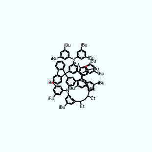 CCC(C)c1cc(C(C)CC)cc(N(c2cc(C(C)CC)cc(C(C)CC)c2)c2cc(N(c3cc(C(C)CC)cc(C(C)CC)c3)c3cc(C(C)CC)cc(C(C)CC)c3)cc(C3(c4cc5cc(c4)N(c4cc(C(C)CC)cc(C(C)CC)c4)c4cc(C(C)CC)cc(c4)C(CC)CC(CC)c4cc(C(C)CC)cc(c4)N5c4cc(C(C)CC)cc(C(C)CC)c4)c4ccccc4-c4ccccc43)c2)c1